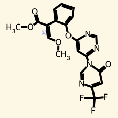 CO/C=C(/C(=O)OC)c1ccccc1Oc1cc(-n2cnc(C(F)(F)F)cc2=O)ncn1